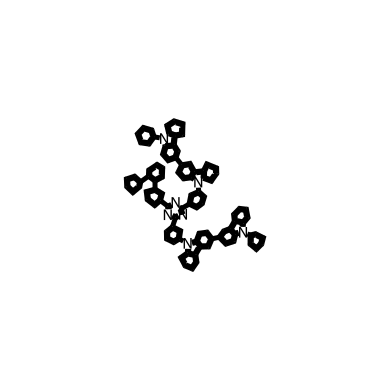 c1ccc(-c2ccccc2-c2cccc(-c3nc(-c4cccc(-n5c6ccccc6c6cc(-c7ccc8c(c7)c7ccccc7n8-c7ccccc7)ccc65)c4)nc(-c4cccc(-n5c6ccccc6c6cc(-c7ccc8c(c7)c7ccccc7n8-c7ccccc7)ccc65)c4)n3)c2)cc1